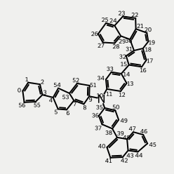 c1ccc(-c2ccc3cc(N(c4ccc(-c5ccc6ccc7ccc8ccccc8c7c6c5)cc4)c4ccc(-c5cccc6ccccc56)cc4)ccc3c2)cc1